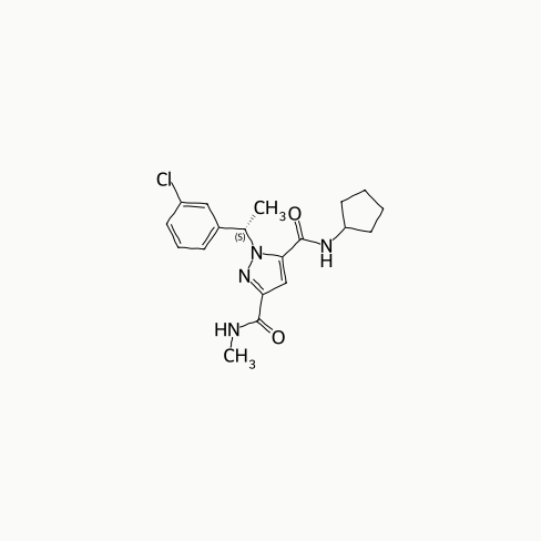 CNC(=O)c1cc(C(=O)NC2CCCC2)n([C@@H](C)c2cccc(Cl)c2)n1